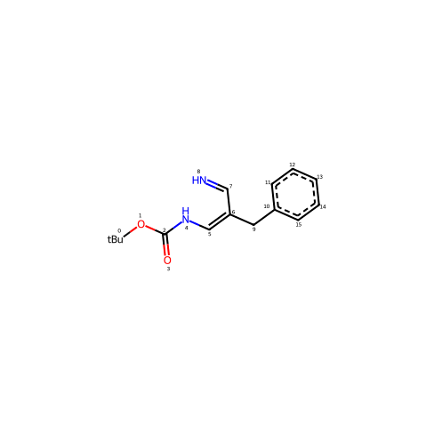 CC(C)(C)OC(=O)N/C=C(\C=N)Cc1ccccc1